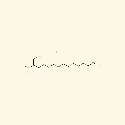 CN(C)C(CO)CCCCCCCCCCCCO.Cl